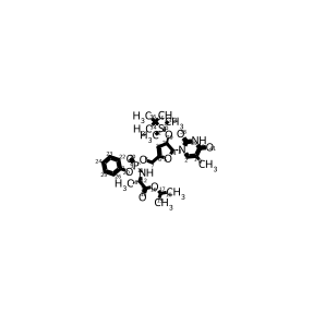 Cc1cn([C@@H]2OC(CO[P@@](=O)(N[C@@H](C)C(=O)OC(C)C)Oc3ccccc3)=C[C@H]2O[Si](C)(C)C(C)(C)C)c(=O)[nH]c1=O